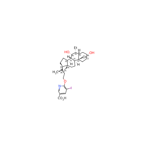 CC[C@H]1[C@@H](O)[C@@H]2[C@H](CC[C@]3(C)[C@@H]([C@H](C)CCOc4ncc(C(=O)O)cc4I)CC[C@@H]23)[C@@]2(C)CC[C@@H](O)C[C@@H]12